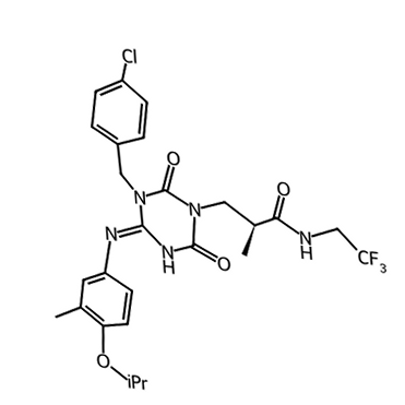 Cc1cc(/N=c2\[nH]c(=O)n(C[C@H](C)C(=O)NCC(F)(F)F)c(=O)n2Cc2ccc(Cl)cc2)ccc1OC(C)C